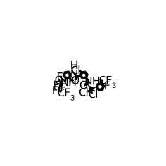 O=C(Nc1ccc(F)c(NC(=O)C(F)(F)C(F)C(F)(F)F)c1F)c1cc(NC(=O)[C@H]2[C@H](c3ccc(F)c(C(F)(F)F)c3)C2(Cl)Cl)ccc1Cl